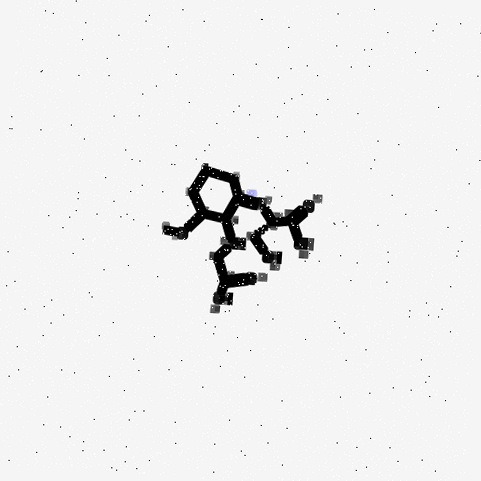 COC1CCC/C(=N/[C@@H](CO)C(=O)O)C1NCC(=O)O